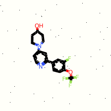 OC1CCN(c2ccnc(-c3ccc(OC(F)(F)F)c(F)c3)c2)CC1